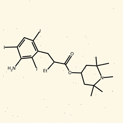 CCC(Cc1c(I)cc(I)c(N)c1I)C(=O)OC1CC(C)(C)N(C)C(C)(C)C1